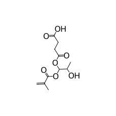 C=C(C)C(=O)OC(OC(=O)CCC(=O)O)C(C)O